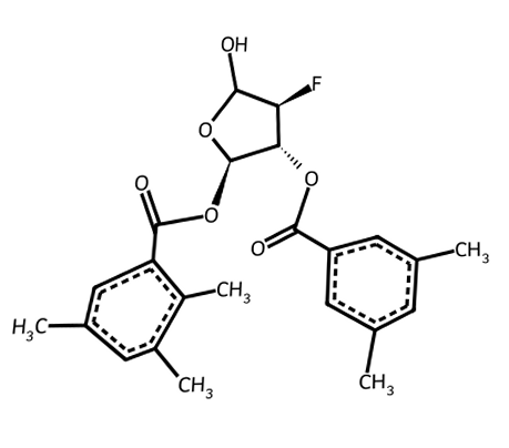 Cc1cc(C)cc(C(=O)O[C@@H]2[C@@H](OC(=O)c3cc(C)cc(C)c3C)OC(O)[C@H]2F)c1